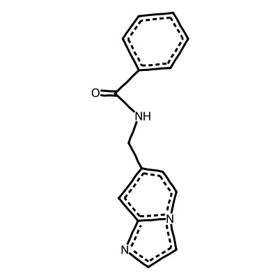 O=C(NCc1ccn2ccnc2c1)c1ccccc1